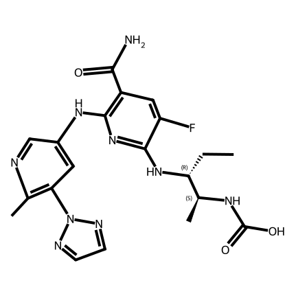 CC[C@@H](Nc1nc(Nc2cnc(C)c(-n3nccn3)c2)c(C(N)=O)cc1F)[C@H](C)NC(=O)O